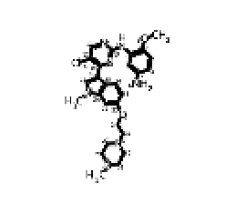 COc1ccc(N)cc1Nc1ncc(Cl)c(-c2cn(C)c3cc(OCCN4CCN(C)CC4)ccc23)n1